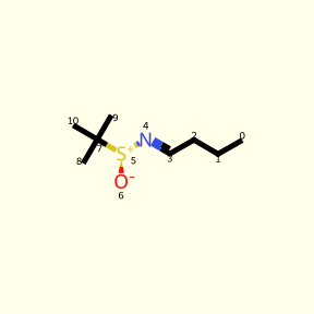 CCCC=N[S@@+]([O-])C(C)(C)C